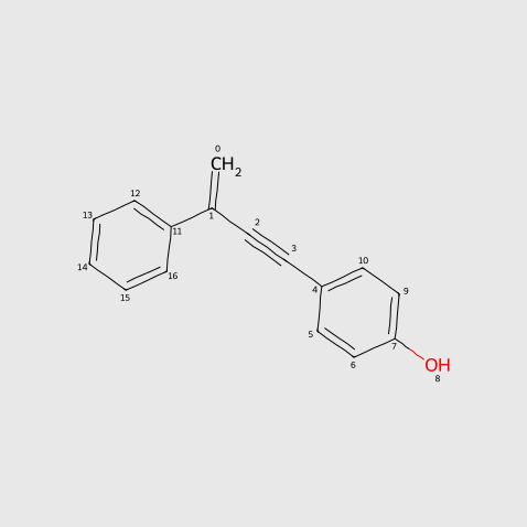 C=C(C#Cc1ccc(O)cc1)c1ccccc1